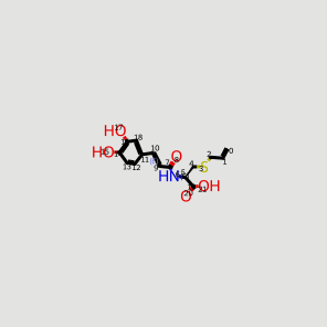 C=CCSC[C@H](NC(=O)/C=C/c1ccc(O)c(O)c1)C(=O)O